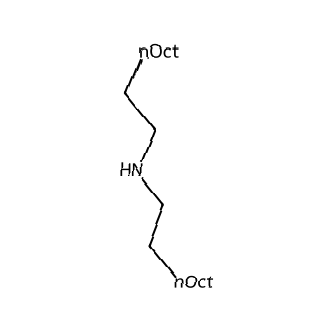 CCCCCCCCCCNCCCCCCCCCC